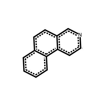 [c]1cc2c(ccc3ccccc32)cn1